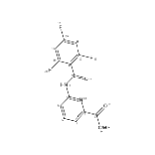 COC(=O)c1cccc(NC(=O)c2c(F)cc(F)cc2F)n1